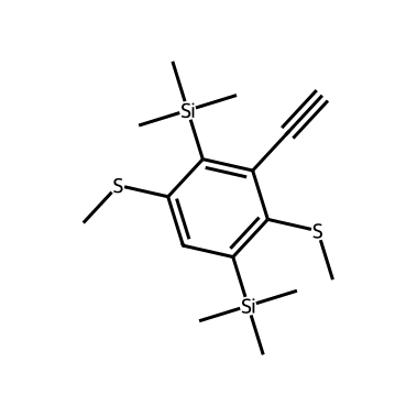 C#Cc1c(SC)c([Si](C)(C)C)cc(SC)c1[Si](C)(C)C